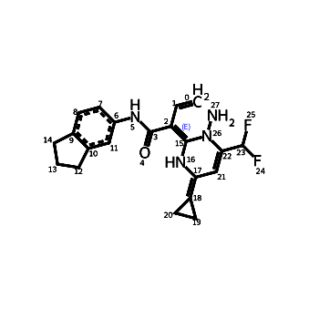 C=C/C(C(=O)Nc1ccc2c(c1)CCC2)=C1/NC(=C2CC2)C=C(C(F)F)N1N